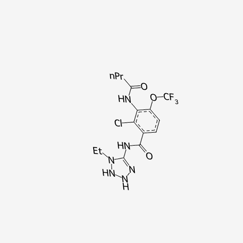 CCCC(=O)Nc1c(OC(F)(F)F)ccc(C(=O)NC2=NNNN2CC)c1Cl